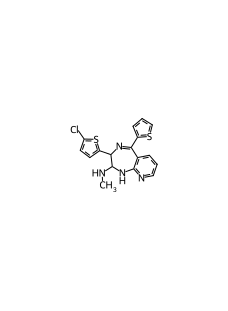 CNC1Nc2ncccc2C(c2cccs2)=NC1c1ccc(Cl)s1